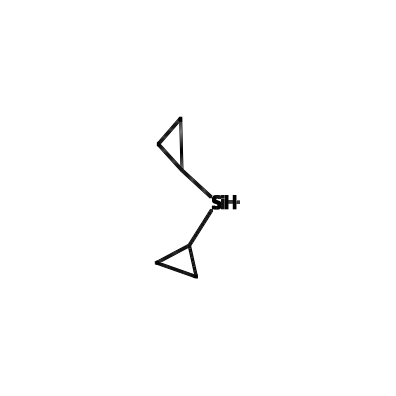 C1CC1[SiH]C1CC1